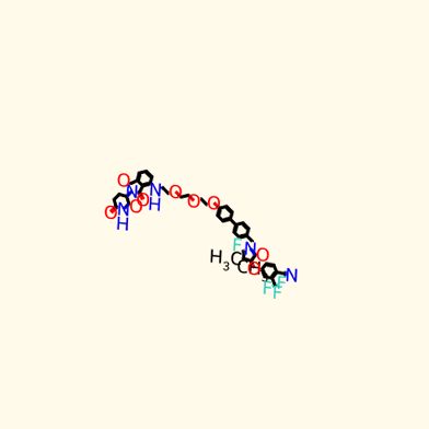 CC1(C)CN(Cc2ccc(-c3ccc(OCCOCCOCCNc4cccc5c4C(=O)N(C4CCC(=O)NC4=O)C5=O)cc3)cc2F)C(=O)C1Oc1ccc(C#N)c(C(F)(F)F)c1